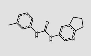 Cc1cccc(NC(=O)Nc2cnc3c(c2)CCC3)c1